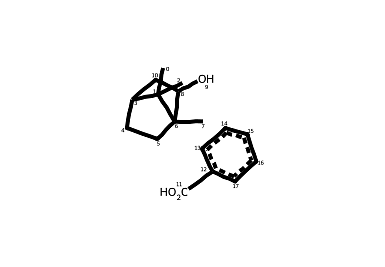 CC1(C)C2CCC1(C)C(O)C2.O=C(O)c1ccccc1